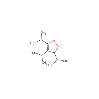 CC(C)C1=C(C(C)C)C(C(C)C)CO1